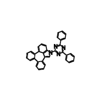 c1ccc(-c2nc(-c3ccccc3)nc(-n3cc4c5c(cccc53)-c3ccccc3-c3ccccc3-4)n2)cc1